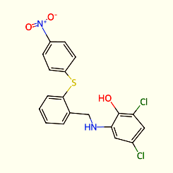 O=[N+]([O-])c1ccc(Sc2ccccc2CNc2cc(Cl)cc(Cl)c2O)cc1